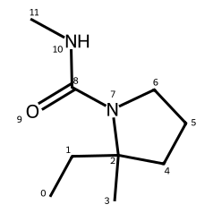 CCC1(C)CCCN1C(=O)NC